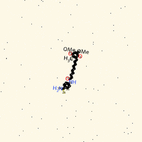 COC1=C(OC)C(=O)C(CCCCCCCCCC(=O)Nc2ccc(C(N)=S)cc2)=C(C)C1=O